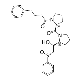 O=C(CCCc1ccccc1)N1CCC[C@H]1C(=O)N1CCC[C@H]1C(O)C[S+]([O-])c1ccccc1